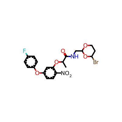 CC(Oc1cc(Oc2ccc(F)cc2)ccc1[N+](=O)[O-])C(=O)NCC1OCCC(Br)O1